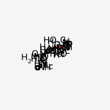 CC(=O)[C@H](C)NC(=O)[C@H](Cc1c[nH]c2ccccc12)NC(=O)[C@H](CCC(N)=O)NC(=O)c1ccc(NC(=O)CNC(=O)CCC2(N(CC(=O)O)CC(=O)OO)CN(CC(=O)O)[C@@H]3CCCC[C@H]3N(CC(=O)O)C2)cc1